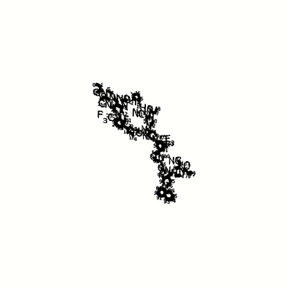 C=CC(=O)N1CCN(c2nc(OC[C@@H]3CCCN3C)nc3c2CCN(c2c(C(F)(F)F)ccc(C4C[C@H](COc5nc6c(c(N7CCN(C(O)C=C)[C@@H](CC#N)C7)n5)CCN(c5cc(C7COC[C@H](COc8nc9c(c(N%10CCN(C(=O)C=C)C(CC#N)C%10)n8)CCN(c8cccc%10ccccc8%10)C9)N7C)cc(F)c5C(F)(F)F)C6)N(C)C4)c2F)C3)CC1CC#N